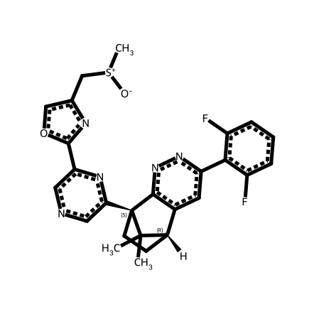 C[S+]([O-])Cc1coc(-c2cncc([C@@]34CC[C@@H](c5cc(-c6c(F)cccc6F)nnc53)C4(C)C)n2)n1